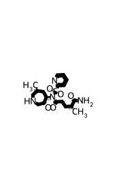 C[C@H]1CNCC(=O)[C@H](N(C(=O)[CH]C[C@H](C)C(N)=O)S(=O)(=O)c2ccccn2)C1